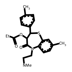 CCC(=O)OC1C(=O)N(CCNC)c2ccc(C)cc2SC1c1ccc(C)cc1